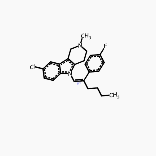 CCCC/C(=C/n1c2c(c3cc(Cl)ccc31)CN(C)CC2)c1ccc(F)cc1